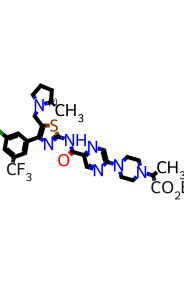 CCOC(=O)C(C)N1CCN(c2cnc(C(=O)Nc3nc(-c4cc(Cl)cc(C(F)(F)F)c4)c(CN4CCC[C@H]4C)s3)cn2)CC1